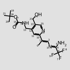 C/C(=C\N=C(/N)C(F)(F)F)c1cc(CNC(=O)OC(C)(C)C)c(CO)cn1